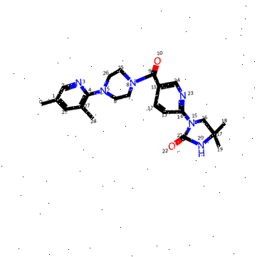 Cc1cnc(N2CCN(C(=O)c3ccc(N4CC(C)(C)NC4=O)nc3)CC2)c(C)c1